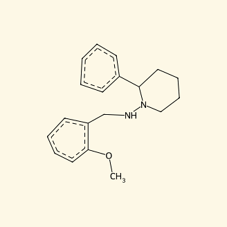 COc1ccccc1CNN1CCCCC1c1ccccc1